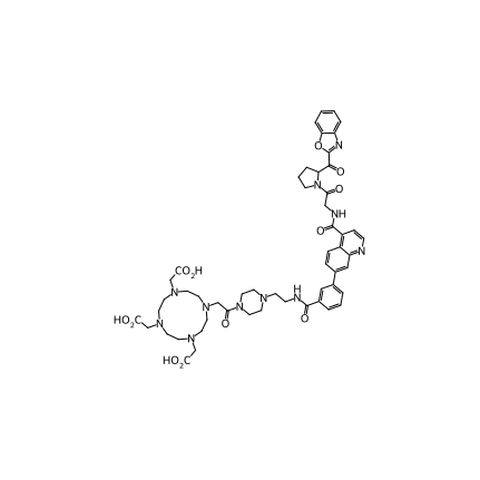 O=C(O)CN1CCN(CC(=O)O)CCN(CC(=O)N2CCN(CCNC(=O)c3cccc(-c4ccc5c(C(=O)NCC(=O)N6CCCC6C(=O)c6nc7ccccc7o6)ccnc5c4)c3)CC2)CCN(CC(=O)O)CC1